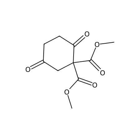 COC(=O)C1(C(=O)OC)CC(=O)CCC1=O